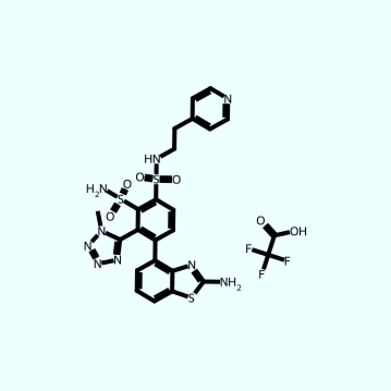 Cn1nnnc1-c1c(-c2cccc3sc(N)nc23)ccc(S(=O)(=O)NCCc2ccncc2)c1S(N)(=O)=O.O=C(O)C(F)(F)F